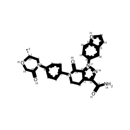 C[C@@H]1CN(c2ccc(N3CCc4c(C(N)=O)nn(-c5ccc6occc6c5)c4C3=O)cc2)C(=O)CO1